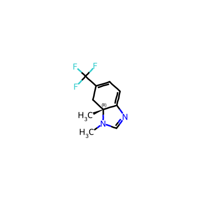 CN1C=NC2=CC=C(C(F)(F)F)C[C@]21C